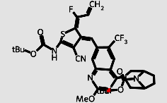 C=C/C(F)=c1/sc(NC(=O)OC(C)(C)C)c(C#N)/c1=C\c1cc2nc(OC)nc(N3CC4CCC(C3)N4C(=O)OC(C)(C)C)c2cc1C(F)(F)F